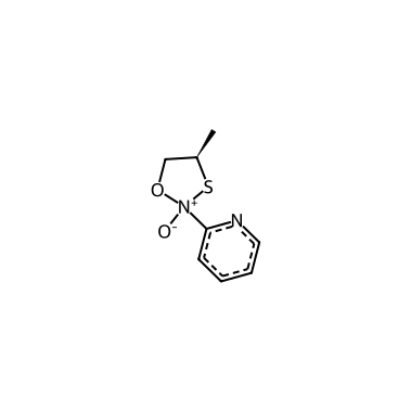 C[C@@H]1CO[N+]([O-])(c2ccccn2)S1